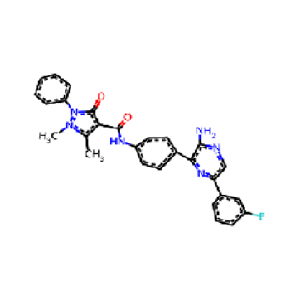 Cc1c(C(=O)Nc2ccc(-c3nc(-c4cccc(F)c4)cnc3N)cc2)c(=O)n(-c2ccccc2)n1C